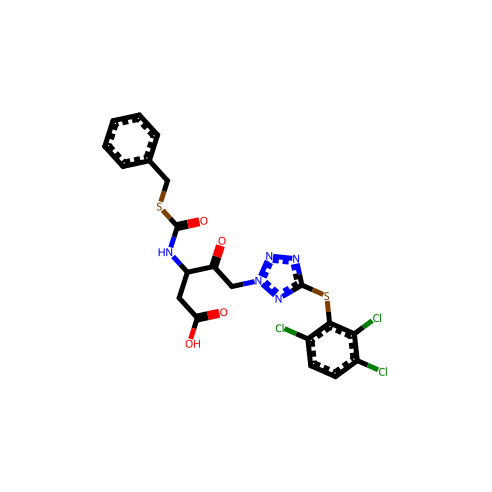 O=C(O)CC(NC(=O)SCc1ccccc1)C(=O)Cn1nnc(Sc2c(Cl)ccc(Cl)c2Cl)n1